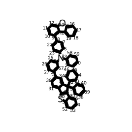 c1ccc(N(c2ccc(-c3cccc4oc5ccccc5c34)cc2)c2cccc(-c3ccc4c(c3)C(c3ccccc3)(c3ccccc3)c3c-4sc4ccccc34)c2)cc1